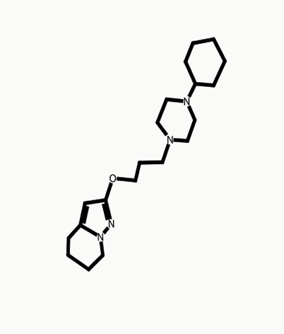 c1c(OCCCN2CCN(C3CCCCC3)CC2)nn2c1CCCC2